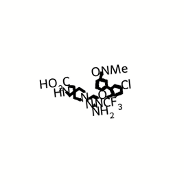 CNC(=O)c1cccc(-c2cc(Cl)ccc2[C@@H](Oc2cc(N3CCC4(CC3)CN[C@H](C(=O)O)C4)nc(N)n2)C(F)(F)F)c1